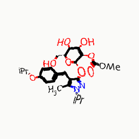 COC(=O)O[C@H]1[C@H](Oc2nn(C(C)C)c(C)c2Cc2ccc(OC(C)C)cc2)O[C@H](CO)[C@@H](O)[C@@H]1O